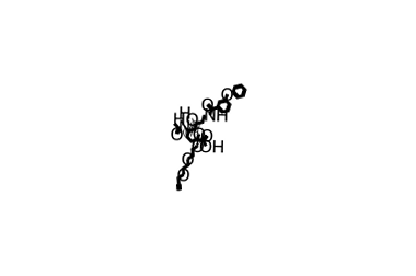 C#CCOCCOCCO[C@@]1(C(=O)O)CC[C@@H](NC(C)=O)[C@H]([C@H](O)CCNC(=O)c2cccc(Oc3ccccc3)c2)O1